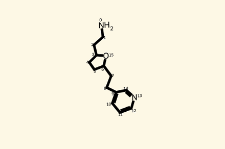 NCCC1CCC(CCc2cccnc2)O1